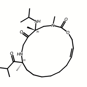 CC(C)N[C@]1(C)CN(C)C(=O)OCC=CCCCCCC[C@@](C)(C(=O)C(C)C)NCC1=O